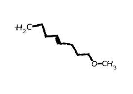 [CH2]CC/C=C/CCCOC